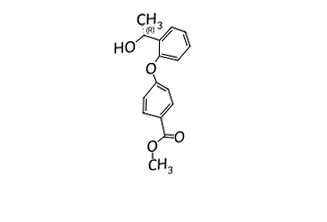 COC(=O)c1ccc(Oc2ccccc2[C@@H](C)O)cc1